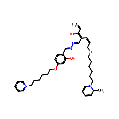 C=C/C(O)=C(\C=C/COCCCCCCN1C=CC=CC1C)/C=N/N=C/c1ccc(OCCCCCC[n+]2ccccc2)cc1O